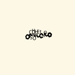 CCOC(=O)c1c(NC(=O)NCC2CCN(C(=O)Cc3ccccc3)CC2)sc2c1CCCC2